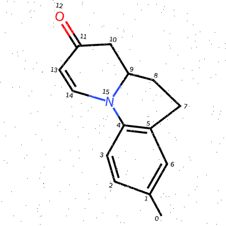 Cc1ccc2c(c1)CCC1CC(=O)C=CN21